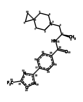 C[C@H](CN1CCC2(CC1)CC2)NC(=O)c1ccc(-c2noc(C(F)(F)F)n2)cc1